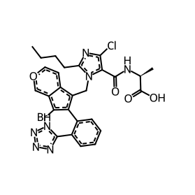 CCCCc1nc(Cl)c(C(=O)N[C@@H](C)C(=O)O)n1Cc1c2ccocc-2c(Br)c1-c1ccccc1-c1nnn[nH]1